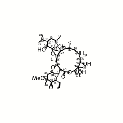 C=C[C@@H]1O[C@@H](O[C@H]2[C@H](C)[C@@H](O[C@@H]3O[C@H](C)C[C@H](N(C)C)[C@H]3O)[C@](C)(O)C[C@@H](C)CN[C@H](C)[C@@H](O)[C@](C)(O)[C@@H](CC)OC(=O)[C@@H]2C)C[C@@](C)(OC)C1=O